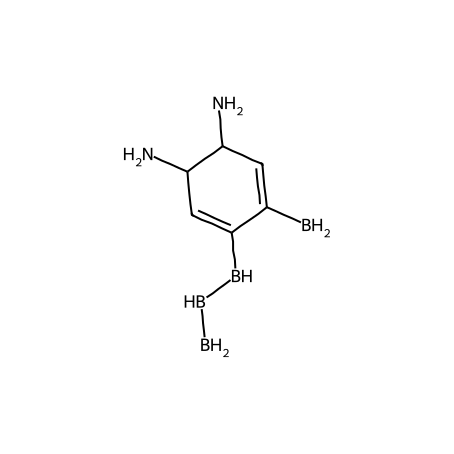 BBBC1=CC(N)C(N)C=C1B